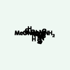 COC(=O)CNCC(=O)Nc1cccc(-c2nc(-c3cccs3)nc3sc(C(N)=O)c(N)c23)c1